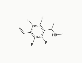 C=Cc1c(F)c(F)c(C(C)BC)c(F)c1F